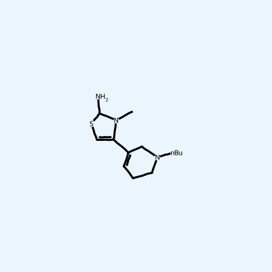 CCCCN1CCC=C(C2=CSC(N)N2C)C1